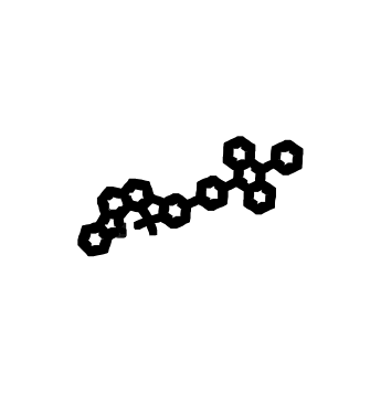 CC1(C)c2ccc(-c3ccc(-c4c5ccccc5c(-c5ccccc5)c5ccccc45)cc3)cc2-c2ccc3ccc4c5ccccc5sc4c3c21